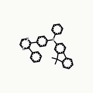 CC1(C)c2ccccc2-c2ccc(N(c3ccccc3)c3ccc(-c4nccnc4-c4ccccc4)cc3)cc21